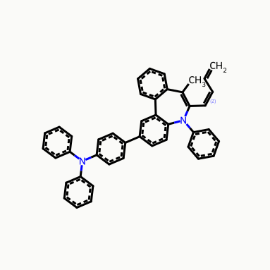 C=C/C=C\C1=C(C)c2ccccc2-c2cc(-c3ccc(N(c4ccccc4)c4ccccc4)cc3)ccc2N1c1ccccc1